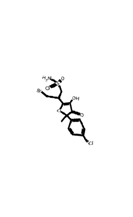 CC1(c2ccc(Cl)cc2)OC(C(CBr)CS(N)(=O)=O)=C(O)C1=O